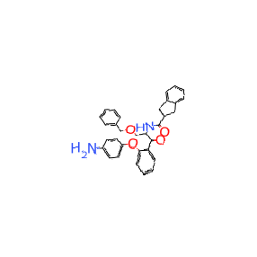 Nc1ccc(Oc2ccccc2C(=O)C(COCc2ccccc2)NC(=O)C2Cc3ccccc3C2)cc1